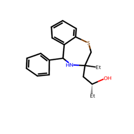 CC[C@@H](O)CC1(CC)CSc2ccccc2C(c2ccccc2)N1